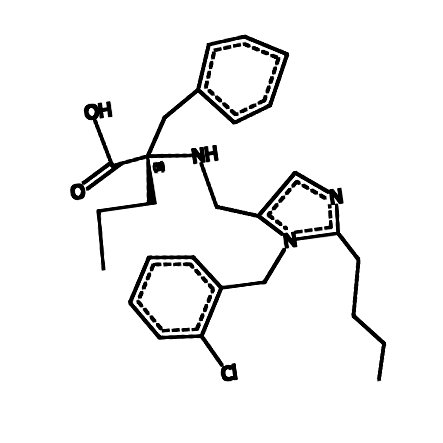 CCCCc1ncc(CN[C@@](CCC)(Cc2ccccc2)C(=O)O)n1Cc1ccccc1Cl